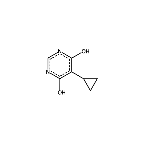 Oc1ncnc(O)c1C1CC1